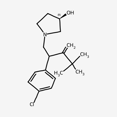 C=C(C(CN1CC[C@@H](O)C1)c1ccc(Cl)cc1)C(C)(C)C